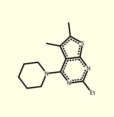 CCc1nc(N2CCCCC2)c2c(C)c(C)sc2n1